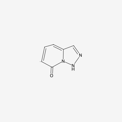 O=c1[c]ccc2cn[nH]n12